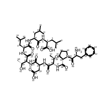 CC(C)C[C@H](NC(=O)[C@H](CC(C)C)NC(=O)[C@H](CC(C)C)NC(=O)[C@@H](NC(=O)[C@H](CC(=O)O)NC(=O)[C@@H](NC(=O)[C@@H]1CCCN1C(=O)[C@@H](N)Cc1ccccc1)[C@@H](C)O)[C@@H](C)O)C(=O)O